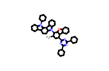 FC(F)(F)c1cc(-c2nc(-c3ccccc3)nc(-c3ccccc3)n2)c2c(oc3ccccc32)c1-n1c2ccccc2c2c1ccc1c3ccccc3n(-c3ccccc3)c12